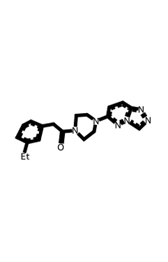 CCc1cccc(CC(=O)N2CCN(c3ccc4nncn4n3)CC2)c1